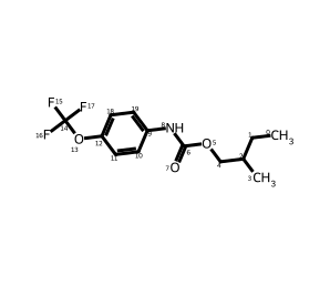 CCC(C)COC(=O)Nc1ccc(OC(F)(F)F)cc1